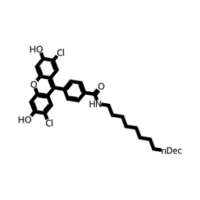 CCCCCCCCCCCCCCCCCCNC(=O)c1ccc(C2=C3C=C(Cl)C(O)C=C3Oc3cc(O)c(Cl)cc32)cc1